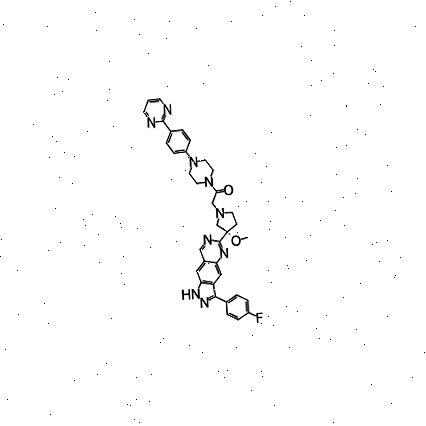 CO[C@@]1(c2ncc3cc4[nH]nc(-c5ccc(F)cc5)c4cc3n2)CCN(CC(=O)N2CCN(c3ccc(-c4ncccn4)cc3)CC2)C1